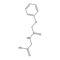 O=C(S)CNC(=O)COc1ccccc1